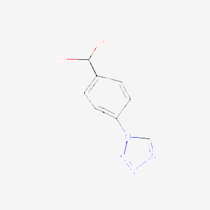 OC(O)c1ccc(-n2cnnn2)cc1